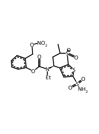 CCN(C(=O)Oc1ccccc1CO[N+](=O)[O-])[C@H]1CC(C)S(=O)(=O)c2sc(S(N)(=O)=O)cc21